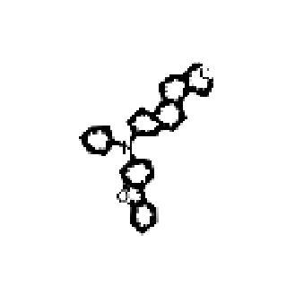 c1ccc(N(c2ccc3c(ccc4c5ccccc5ccc34)c2)c2ccc3c(c2)oc2ccccc23)cc1